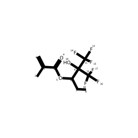 C=C(C)C(=O)OC(CC)C(O)(C(F)(F)F)C(F)(F)F